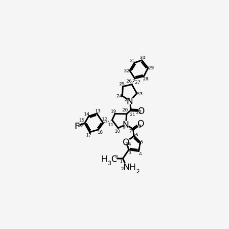 CC(N)c1ccc(C(=O)N2C[C@H](c3ccc(F)cc3)CC2C(=O)N2CC[C@H](c3ccccc3)C2)o1